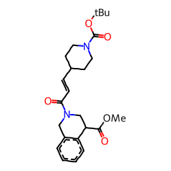 COC(=O)C1CN(C(=O)C=CC2CCN(C(=O)OC(C)(C)C)CC2)Cc2ccccc21